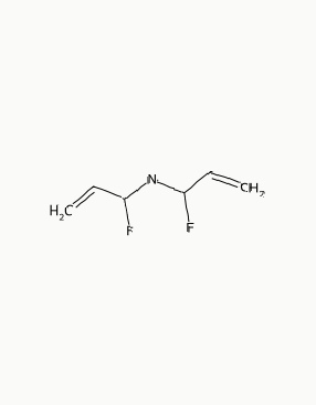 C=CC(F)[N]C(F)C=C